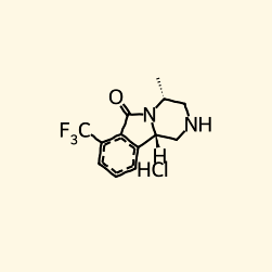 C[C@@H]1CNC[C@@H]2c3cccc(C(F)(F)F)c3C(=O)N12.Cl